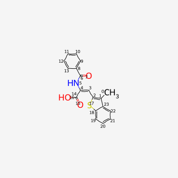 Cc1c(/C=C(/NC(=O)c2ccccc2)C(=O)O)sc2ccccc12